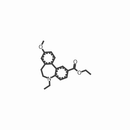 CCOC(=O)c1ccc2c(c1)-c1ccc(OC)cc1CCN2CC